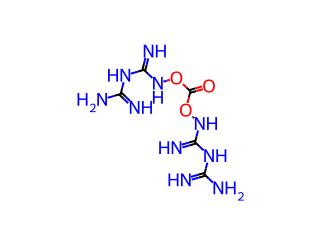 N=C(N)NC(=N)NOC(=O)ONC(=N)NC(=N)N